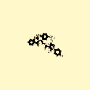 Cc1ccc(Nc2nc3ccccc3c(=O)n2CCNC(=O)c2c(C)nn(-c3ccc(Cl)cc3)c2Cl)cc1